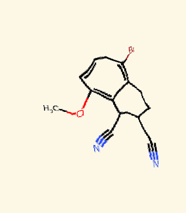 COc1ccc(Br)c2c1C(C#N)C(C#N)CC2